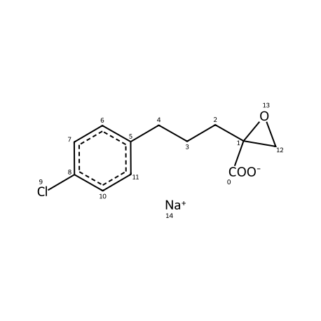 O=C([O-])C1(CCCc2ccc(Cl)cc2)CO1.[Na+]